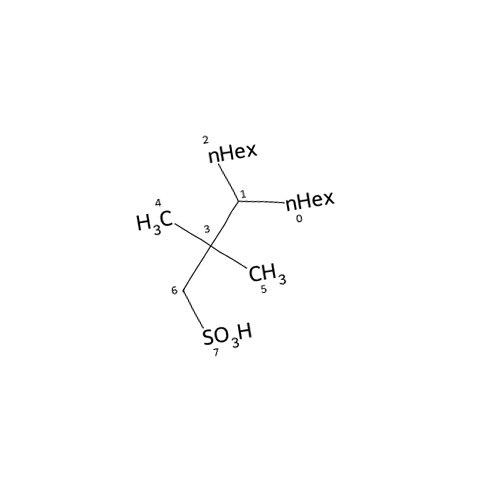 CCCCCCC(CCCCCC)C(C)(C)CS(=O)(=O)O